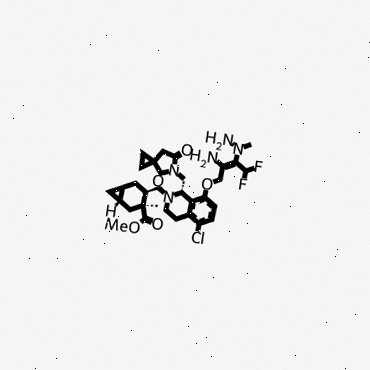 COC(=O)[C@@]1(C)C[C@@H]2CC2C[C@H]1C(=O)N1CCc2c(Cl)ccc(OC/C(N)=C(\C(F)F)N(C)N)c2[C@H]1CN1CC2(CC2)CC1=O